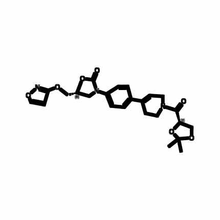 CC1(C)OC[C@H](C(=O)N2CC=C(c3ccc(N4C[C@H](COc5ccon5)OC4=O)cc3)CC2)O1